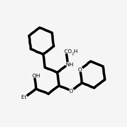 CCC(O)CC(OC1CCCCO1)C(CC1CCCCC1)NC(=O)O